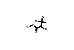 CCCOC(=O)C(C)C(Br)(I)CC